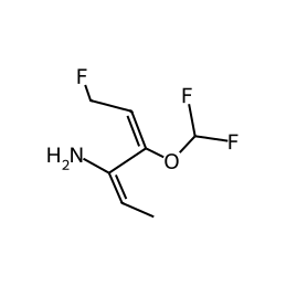 C/C=C(N)\C(=C/CF)OC(F)F